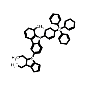 CCC1C2=C(C=CC2)N(C2=C=C=c3c(c4c(n3C3C=CC([Si](C5=CCCC=C5)(C5C=CC=CC5)C5C=CCCC5)CC3)C(C)CC=C4)=C2)C1CC